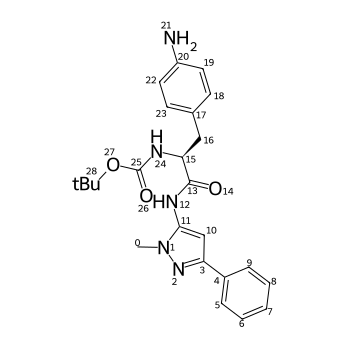 Cn1nc(-c2ccccc2)cc1NC(=O)[C@H](Cc1ccc(N)cc1)NC(=O)OC(C)(C)C